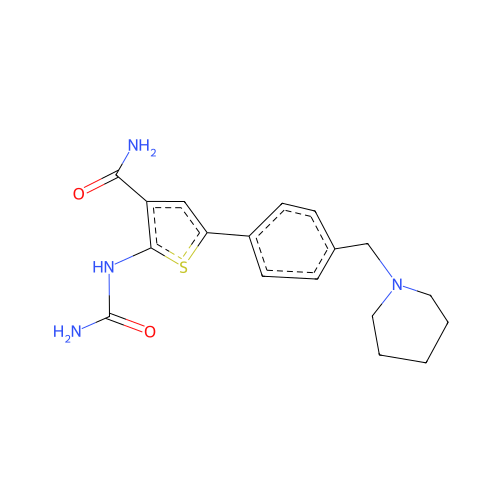 NC(=O)Nc1sc(-c2ccc(CN3CCCCC3)cc2)cc1C(N)=O